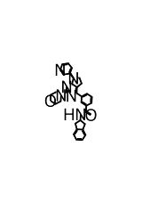 O=C(NC1Cc2ccccc2C1)c1cccc(-c2nc(N3CCOCC3)nc3c2CCN3c2cccnc2)c1